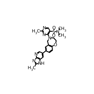 Cc1ncc(S(=O)(=O)N(C)C)c(N2CCOc3ccc(-c4cnc5nc(C)[nH]c5c4)cc3C2)n1